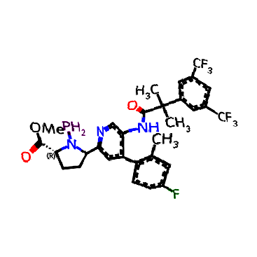 COC(=O)[C@H]1CCC(c2cc(-c3ccc(F)cc3C)c(NC(=O)C(C)(C)c3cc(C(F)(F)F)cc(C(F)(F)F)c3)cn2)N1P